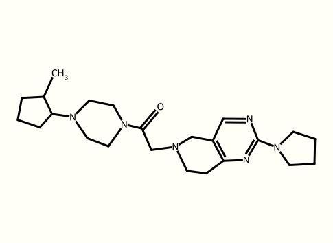 CC1CCCC1N1CCN(C(=O)CN2CCc3nc(N4CCCC4)ncc3C2)CC1